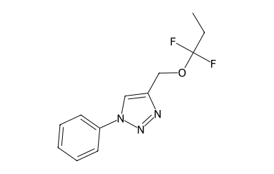 CCC(F)(F)OCc1cn(-c2ccccc2)nn1